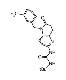 CC(C)(C)NC(=O)Nc1ccc2c(n1)CCC(=O)N2Cc1cccc(C(F)(F)F)c1